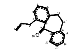 C=CCc1cccc2c1C(=O)c1ccccc1CC2